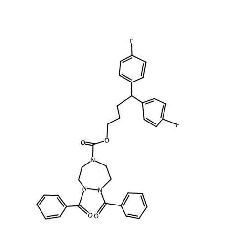 O=C(OCCCC(c1ccc(F)cc1)c1ccc(F)cc1)N1CCN(C(=O)c2ccccc2)N(C(=O)c2ccccc2)CC1